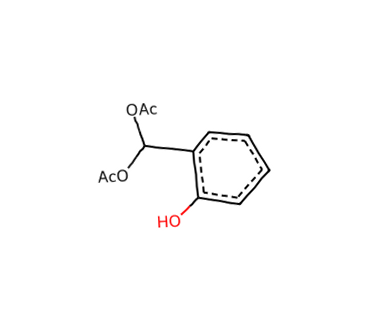 CC(=O)OC(OC(C)=O)c1ccccc1O